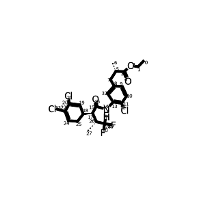 CCOC(=O)[C@@H](C)Cc1ccc(Cl)c(NC(=O)[C@H](C2C=C(Cl)C(Cl)=CC2)[C@@H](C)C(F)(F)F)c1